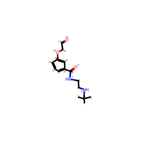 CC(C)(C)NCCNC(=O)c1cccc(OCC=O)c1